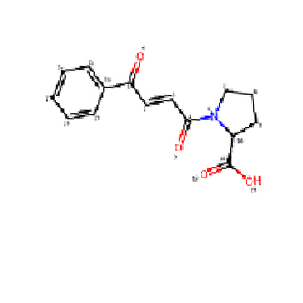 O=C(C=CC(=O)N1CCC[C@H]1C(=O)O)c1ccccc1